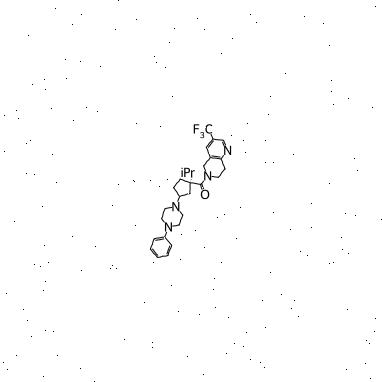 CC(C)[C@@]1(C(=O)N2CCc3ncc(C(F)(F)F)cc3C2)CCC(N2CCN(c3ccccc3)CC2)C1